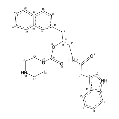 O=C(Cc1c[nH]c2ccccc12)NC[C@@H](Cc1ccc2ccccc2c1)OC(=O)N1CCNCC1